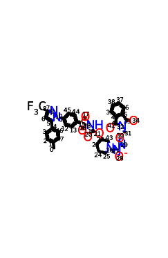 Cc1ccc(-c2cc(C(F)(F)F)nn2-c2ccc(S(=O)(=O)NC(=O)OC3CCCN(/[N+]([O-])=N\OCN4C(=O)c5ccccc5C4=O)C3)cc2)cc1